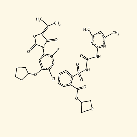 CC(C)=C1OC(=O)N(c2cc(OC3CCCC3)c(Cl)cc2F)C1=O.Cc1cc(C)nc(NC(=O)NS(=O)(=O)c2ccccc2C(=O)OC2COC2)n1